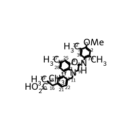 COc1cc(C)c(NC(=O)CN(Cc2ccc(CC(C)(C)C(=O)O)cc2)c2ccc(C)cc2)cc1C